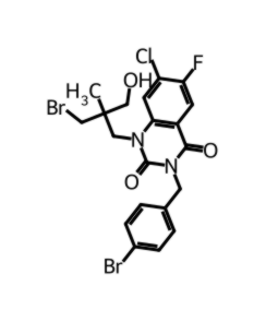 CC(CO)(CBr)Cn1c(=O)n(Cc2ccc(Br)cc2)c(=O)c2cc(F)c(Cl)cc21